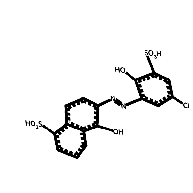 O=S(=O)(O)c1cc(Cl)cc(N=Nc2ccc3c(S(=O)(=O)O)cccc3c2O)c1O